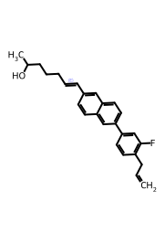 C=CCc1ccc(-c2ccc3cc(/C=C/CCCC(C)O)ccc3c2)cc1F